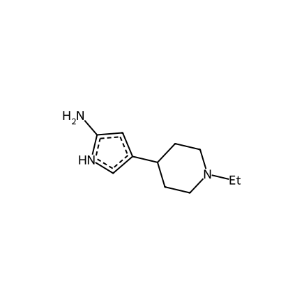 CCN1CCC(c2c[nH]c(N)c2)CC1